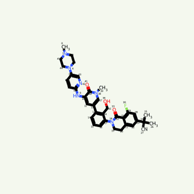 CN1CCN(c2ccc(Nc3cc(-c4cccc(N5CCc6cc(C(C)(C)C#N)cc(F)c6C5=O)c4CO)cn(C)c3=O)nc2)CC1